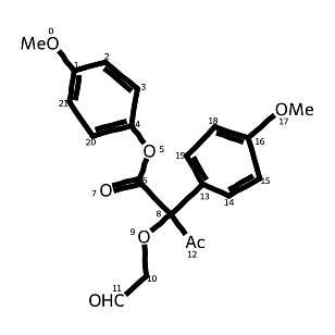 COc1ccc(OC(=O)C(OCC=O)(C(C)=O)c2ccc(OC)cc2)cc1